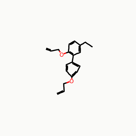 C=CCOc1ccc(-c2cc(CC)ccc2OCC=C)cc1